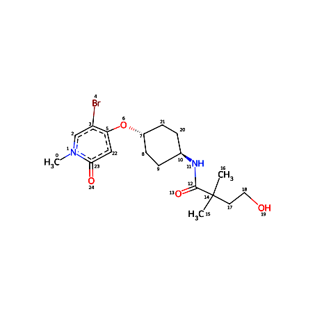 Cn1cc(Br)c(O[C@H]2CC[C@H](NC(=O)C(C)(C)CCO)CC2)cc1=O